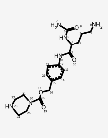 NCCC[C@H](NC(N)=O)C(=O)Nc1ccc(COC(=O)N2CCNCC2)cc1